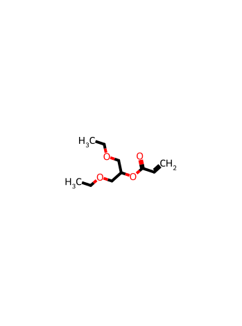 C=CC(=O)OC(COCC)COCC